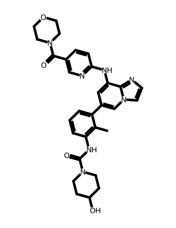 Cc1c(NC(=O)N2CCC(O)CC2)cccc1-c1cc(Nc2ccc(C(=O)N3CCOCC3)cn2)c2nccn2c1